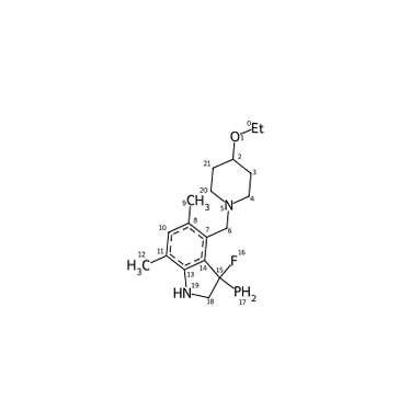 CCOC1CCN(Cc2c(C)cc(C)c3c2C(F)(P)CN3)CC1